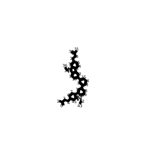 C=C(C)CCc1ccc2c3cc(-c4cccc(-c5ccc6c(c5)c5ccc(CCC(=C)C)cc5n6CC)c4)ccc3n(CC)c2c1